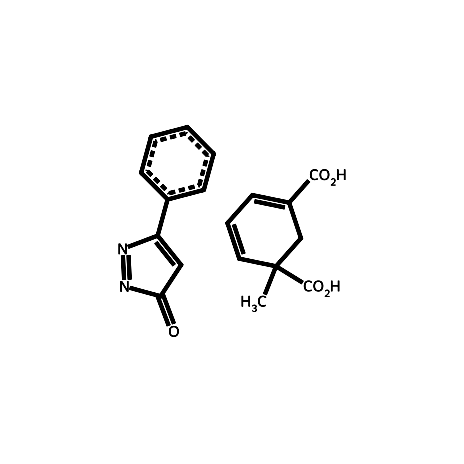 CC1(C(=O)O)C=CC=C(C(=O)O)C1.O=C1C=C(c2ccccc2)N=N1